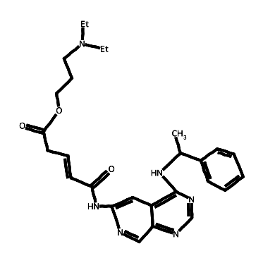 CCN(CC)CCCOC(=O)CC=CC(=O)Nc1cc2c(NC(C)c3ccccc3)ncnc2cn1